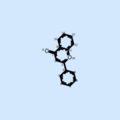 O=c1cc(-c2ccccc2)oc2[c][c]ccc12